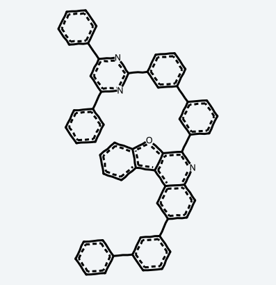 c1ccc(-c2cccc(-c3ccc4nc(-c5cccc(-c6cccc(-c7nc(-c8ccccc8)cc(-c8ccccc8)n7)c6)c5)c5oc6ccccc6c5c4c3)c2)cc1